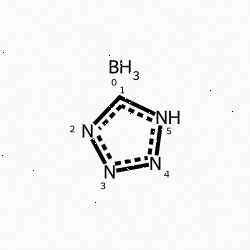 B.c1nnn[nH]1